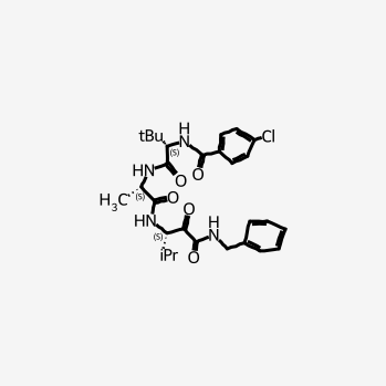 CC(C)[C@H](NC(=O)[C@H](C)NC(=O)[C@@H](NC(=O)c1ccc(Cl)cc1)C(C)(C)C)C(=O)C(=O)NCc1ccccc1